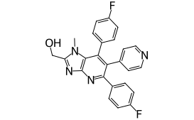 Cn1c(CO)nc2nc(-c3ccc(F)cc3)c(-c3ccncc3)c(-c3ccc(F)cc3)c21